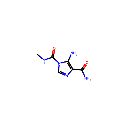 CNC(=O)n1cnc(C(N)=O)c1N